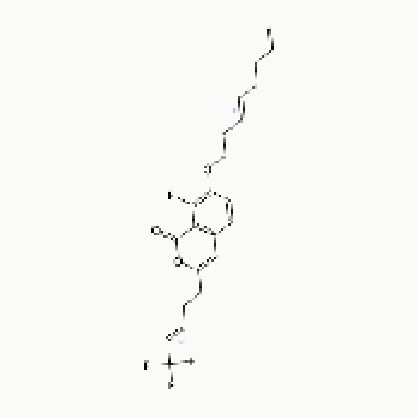 C=CCC/C=C/CCOc1ccc2cc(CC/C=C/C(F)(F)F)oc(=O)c2c1F